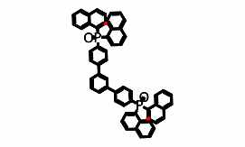 O=P(c1ccc(-c2cccc(-c3ccc(P(=O)(c4cccc5ccccc45)c4cccc5ccccc45)cc3)c2)cc1)(c1cccc2ccccc12)c1cccc2ccccc12